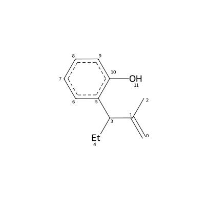 C=C(C)C(CC)c1ccccc1O